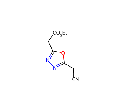 CCOC(=O)Cc1nnc(CC#N)o1